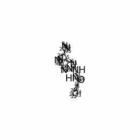 Cn1cc(-c2cc(-c3cnc(NCCNC(=O)C#Cc4ccccc4)nc3)c3c(C#N)cnn3c2)cn1